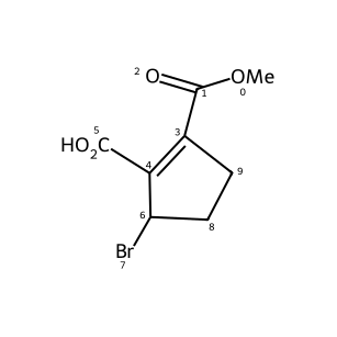 COC(=O)C1=C(C(=O)O)C(Br)CC1